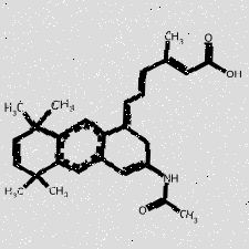 CC(=O)NC1=Cc2cc3c(cc2C(=CC=CC(C)=CC(=O)O)C1)C(C)(C)C=CC3(C)C